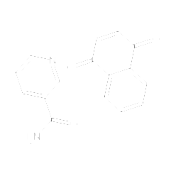 NC(=O)c1cccnc1.O=C1C=CC(=O)c2ccccc21